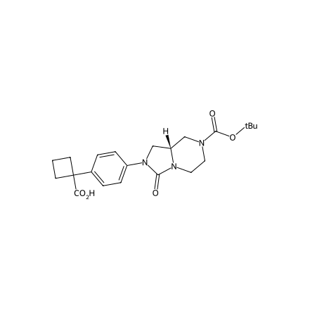 CC(C)(C)OC(=O)N1CCN2C(=O)N(c3ccc(C4(C(=O)O)CCC4)cc3)C[C@@H]2C1